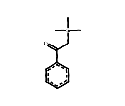 C[Si](C)(C)CC(=O)c1ccccc1